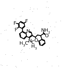 CN(C)c1c(C2CC(C(N)=O)c3ccccc3O2)cnc2c(-c3cc(F)cc(F)c3F)cccc12